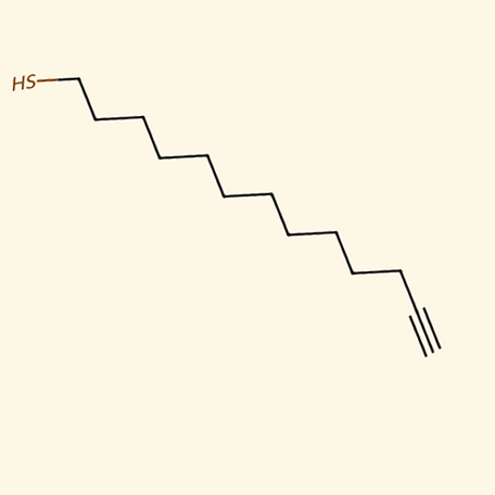 C#CCCCCCCCCCCCS